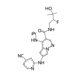 CC(C)Nc1c(C(=O)NCC(F)C(C)(C)O)cnn2cc(Nc3cc(C#N)ccn3)cc12